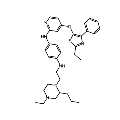 CCCC1CN(CC)CCN1CCNc1ccc(Nc2cc(Oc3sc(CC)nc3-c3ccccc3)ccn2)cc1